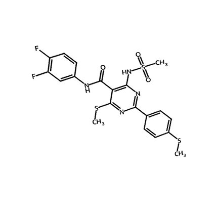 CSc1ccc(-c2nc(NS(C)(=O)=O)c(C(=O)Nc3ccc(F)c(F)c3)c(SC)n2)cc1